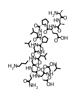 CC(C)C[C@H](NC(=O)[C@H](CC(=O)O)NC(=O)[C@H](CCC(N)=O)NC(=O)[C@H](CCCCN)NC(=O)[C@@H](NC(=O)[C@H](CC(C)C)NC(=O)[C@@H]1CCCN1C(=O)[C@@H](NC(=O)[C@@H]1CCCN1C(=O)[C@H](CCC(=O)O)NC(=O)[C@H](C)NC(=O)[C@H](C)N)C(C)C)C(C)C)C(=O)O